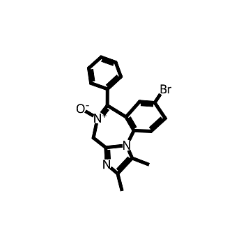 Cc1nc2n(c1C)-c1ccc(Br)cc1C(c1ccccc1)=[N+]([O-])C2